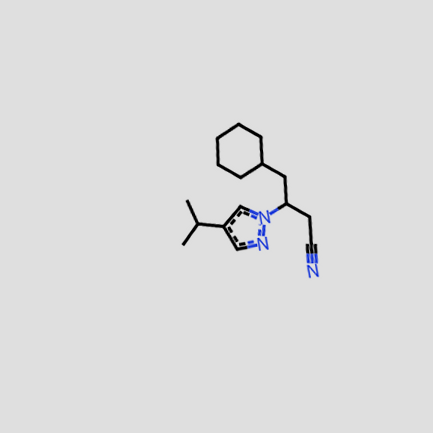 CC(C)c1cnn(C(CC#N)CC2CCCCC2)c1